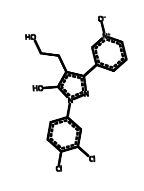 [O-][n+]1cccc(-c2nn(-c3ccc(Cl)c(Cl)c3)c(O)c2CCO)c1